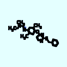 CCN(C)/C=N/c1cc(C)c(Oc2ccnc(SCc3ccccc3)n2)cc1C